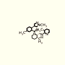 Cc1ccc(-c2cnn(C)c2)c(C(=O)N2CCC[C@@H](C)[C@H]2CNc2ncccc2C)c1